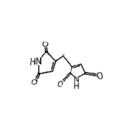 O=C1C=C([C]C2=CC(=O)NC2=O)C(=O)N1